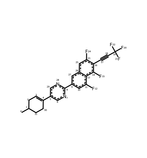 CC1CC=C(c2cnc(-c3cc(F)c4c(F)c(C#CC(F)(F)F)c(F)cc4c3)nc2)CC1